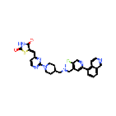 O=C1NC(=O)/C(=C/c2ccnc(N3CCC(CNCc4cc(-c5cccc6cnccc56)ncc4F)CC3)n2)S1